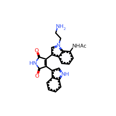 CC(=O)Nc1cccc2c(C3=C(c4c[nH]c5ccccc45)C(=O)NC3=O)cn(CCN)c12